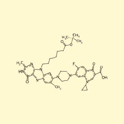 C=c1nc2c(c(=O)[nH]1)=Nc1cc(C)c(N3CCN(c4cc5c(cc4F)c(=O)c(C(=O)O)cn5C4CC4)CC3)cc1N2CCCCCCC(=O)OC(C)(C)C